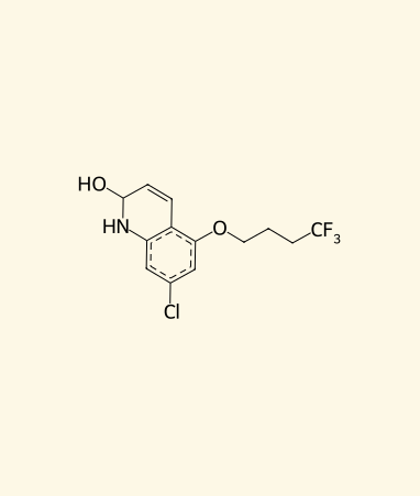 OC1C=Cc2c(cc(Cl)cc2OCCCC(F)(F)F)N1